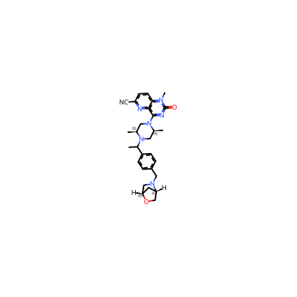 CC(c1ccc(CN2C[C@@H]3C[C@H]2CO3)cc1)N1C[C@H](C)N(c2nc(=O)n(C)c3ccc(C#N)nc23)C[C@@H]1C